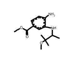 COC(=O)c1ccc(N)c(NC(C)C(C)(C)OC)c1